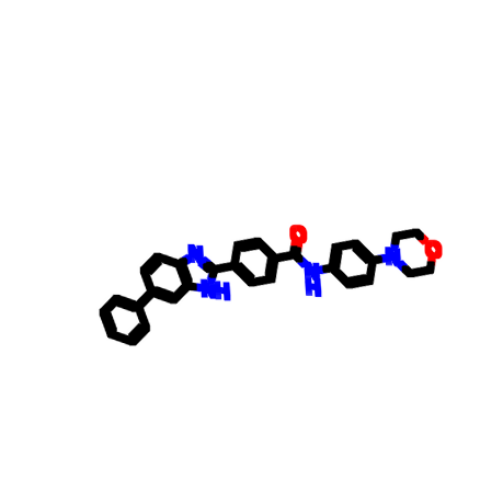 O=C(Nc1ccc(N2CCOCC2)cc1)c1ccc(-c2nc3ccc(-c4ccccc4)cc3[nH]2)cc1